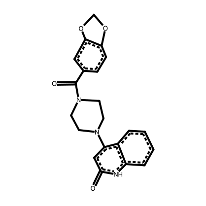 O=C(c1ccc2c(c1)OCO2)N1CCN(c2cc(=O)[nH]c3ccccc23)CC1